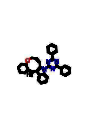 C=C1c2c(n(-c3nc(-c4ccccc4)nc(-c4ccccc4)n3)c3ccccc23)/C=C\COC2CCCC[C@@H]12